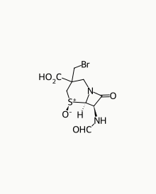 O=CN[C@@H]1C(=O)N2CC(CBr)(C(=O)O)C[S@+]([O-])[C@H]12